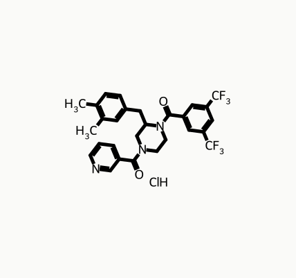 Cc1ccc(CC2CN(C(=O)c3cccnc3)CCN2C(=O)c2cc(C(F)(F)F)cc(C(F)(F)F)c2)cc1C.Cl